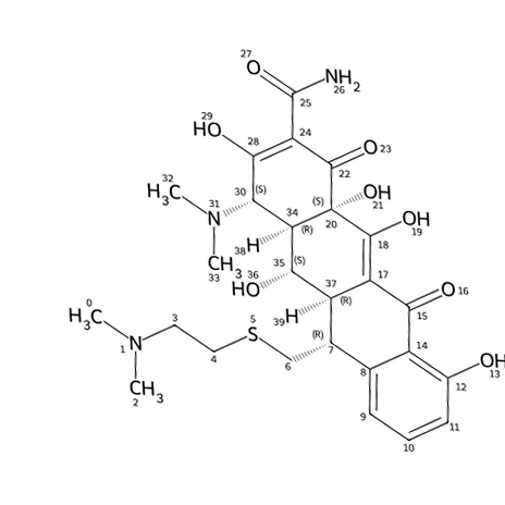 CN(C)CCSC[C@H]1c2cccc(O)c2C(=O)C2=C(O)[C@]3(O)C(=O)C(C(N)=O)=C(O)[C@@H](N(C)C)[C@@H]3[C@@H](O)[C@@H]21